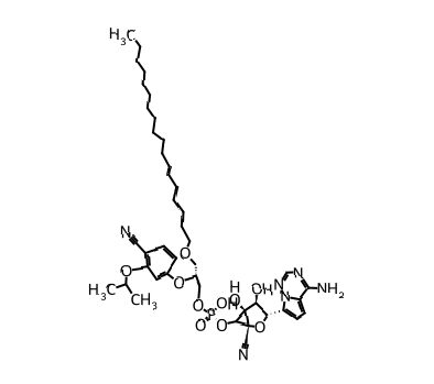 CCCCCCCCCCCCCCCCCCOC[C@H](COP(=O)(O)OC1[C@@]2(C#N)O[C@@H](c3ccc4c(N)ncnn34)[C@H](O)[C@@]12O)Oc1ccc(C#N)c(OC(C)C)c1